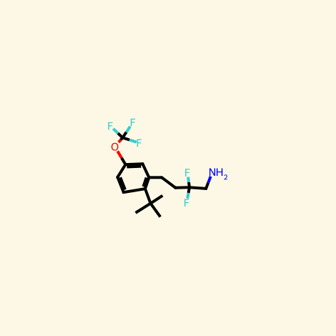 CC(C)(C)c1ccc(OC(F)(F)F)cc1CCC(F)(F)CN